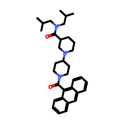 CC(C)CN(CC(C)C)C(=O)C1CCCN(C2CCN(C(=O)c3c4ccccc4cc4ccccc34)CC2)C1